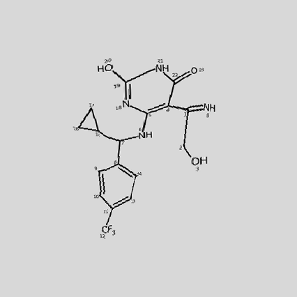 N=C(CO)c1c(NC(c2ccc(C(F)(F)F)cc2)C2CC2)nc(O)[nH]c1=O